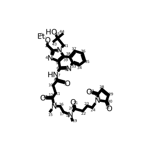 CCOCc1nc2c(NC(=O)CCC(=O)N(C)CCN(C)C(=O)CCCN3C(=O)C=CC3=O)nc3ccccc3c2n1CC(C)(C)O